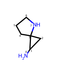 NC1CC12CCCN2